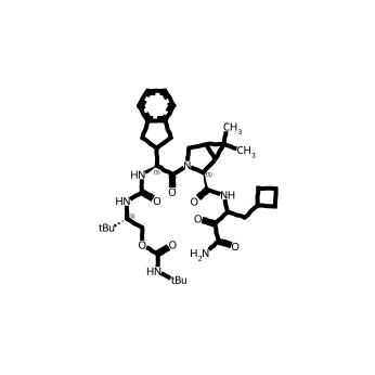 CC(C)(C)NC(=O)OC[C@@H](NC(=O)N[C@H](C(=O)N1CC2C([C@H]1C(=O)NC(CC1CCC1)C(=O)C(N)=O)C2(C)C)C1Cc2ccccc2C1)C(C)(C)C